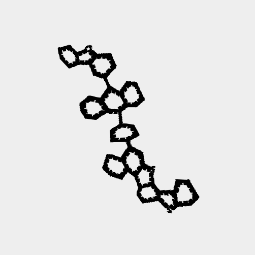 c1ccc2c(c1)oc1ccc(-c3c4ccccc4c(-c4ccc(-c5cc6sc7c(ccc8sc9ccccc9c87)c6c6ccccc56)cc4)c4ccccc34)cc12